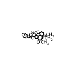 C=C1CC[C@H](C(=C)C)[C@H]2C=C(C)C(=O)C3=C(C(=O)[C@@](C)(OC(=O)CN4CCOCC4)C3)C12